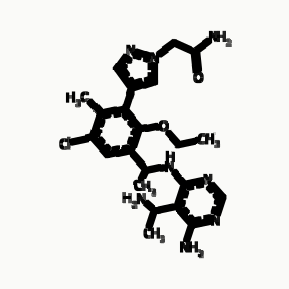 CCOc1c(C(C)Nc2ncnc(N)c2C(C)N)cc(Cl)c(C)c1-c1cnn(CC(N)=O)c1